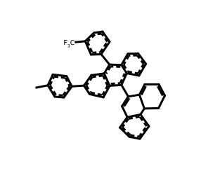 Cc1ccc(-c2ccc3c(C4=Cc5ccccc5C5CC=CC=C45)c4ccccc4c(-c4cccc(C(F)(F)F)c4)c3c2)cc1